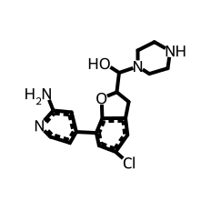 Nc1cc(-c2cc(Cl)cc3c2OC(C(O)N2CCNCC2)C3)ccn1